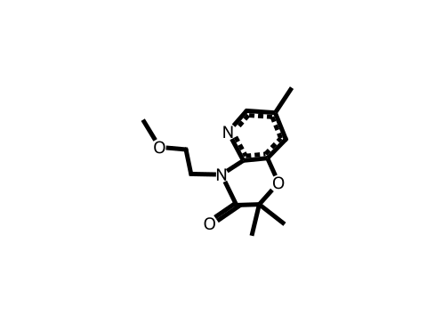 COCCN1C(=O)C(C)(C)Oc2cc(C)cnc21